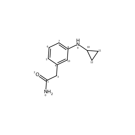 NC(=O)Cc1cccc(NC2CC2)c1